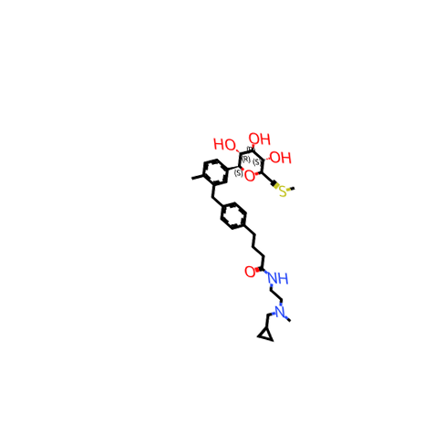 CS#CC1O[C@@H](c2ccc(C)c(Cc3ccc(CCCC(=O)NCCN(C)CC4CC4)cc3)c2)[C@H](O)[C@@H](O)[C@@H]1O